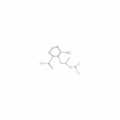 CC(Cc1c(C(N)=O)cccc1[N+](=O)[O-])OC(Cl)Cl